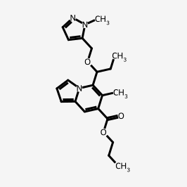 CCCOC(=O)c1cc2cccn2c(C(CC)OCc2ccnn2C)c1C